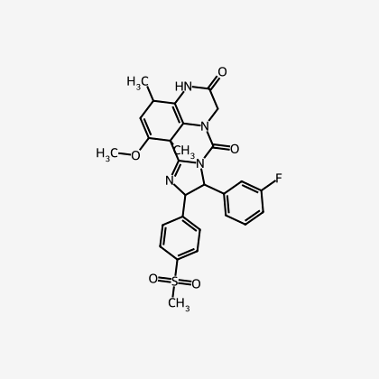 COC1=CC(C)C2=C3N(CC(=O)N2)C(=O)N2C(=NC(c4ccc(S(C)(=O)=O)cc4)C2c2cccc(F)c2)C13C